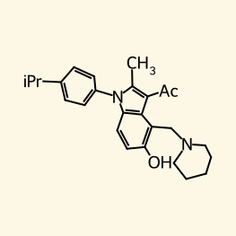 CC(=O)c1c(C)n(-c2ccc(C(C)C)cc2)c2ccc(O)c(CN3CCCCC3)c12